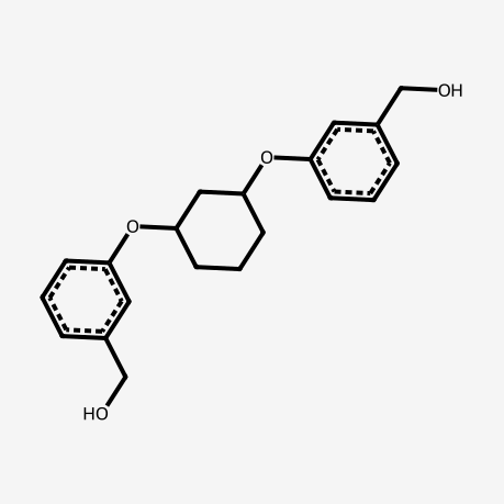 OCc1cccc(OC2CCCC(Oc3cccc(CO)c3)C2)c1